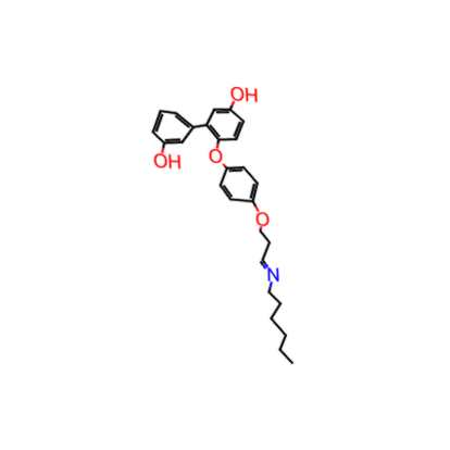 CCCCCCN=CCCOc1ccc(Oc2ccc(O)cc2-c2cccc(O)c2)cc1